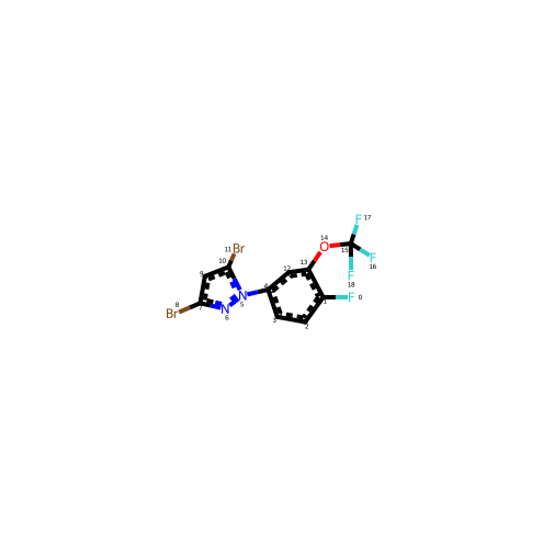 Fc1ccc(-n2nc(Br)cc2Br)cc1OC(F)(F)F